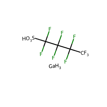 O=S(=O)(O)C(F)(F)C(F)(F)C(F)(F)C(F)(F)F.[GaH3]